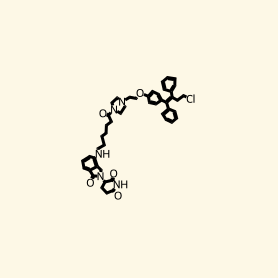 O=C1CCC(N2Cc3c(NCCCCCCC(=O)N4CCN(CCOc5ccc(C(=C(CCCl)c6ccccc6)c6ccccc6)cc5)CC4)cccc3C2=O)C(=O)N1